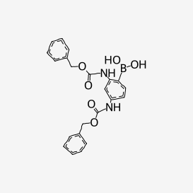 O=C(Nc1ccc(B(O)O)c(NC(=O)OCc2ccccc2)c1)OCc1ccccc1